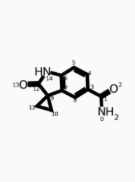 NC(=O)c1ccc2c(c1)C1(CC1)C(=O)N2